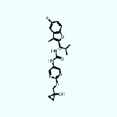 Cc1c([C@@H](NC(=O)Nc2cnc(OCC3(O)CC3)nc2)C(C)C)oc2ccc(F)cc12